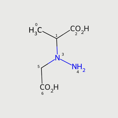 CC(C(=O)O)N(N)CC(=O)O